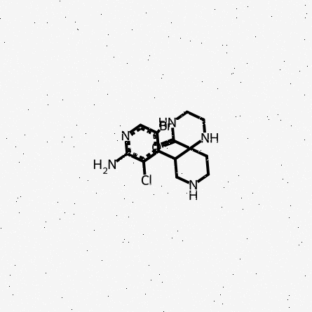 Nc1ncc(Br)c(C2CNCCC23NCCNC3=O)c1Cl